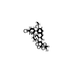 CCOc1ccc(CCC[C@@H](C(=O)N2CCN(c3cccc(Cl)n3)CC2)[C@@H]2OC(C)(C)OC2=O)cc1